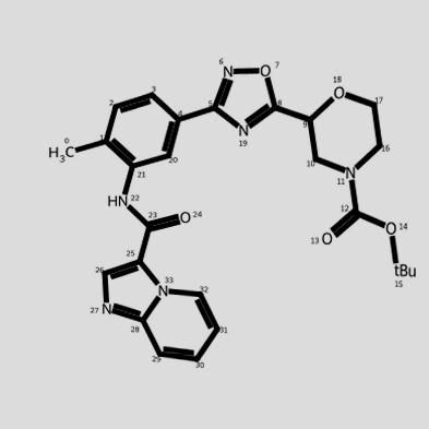 Cc1ccc(-c2noc(C3CN(C(=O)OC(C)(C)C)CCO3)n2)cc1NC(=O)c1cnc2ccccn12